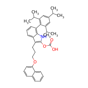 CC(C)c1cc(C(C)C)c(-c2cccc3c(CCCOc4cccc5ccccc45)c(OC(=O)O)[nH]c23)c(C(C)C)c1